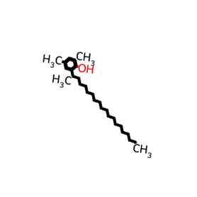 CCCCCCCCCCCCCCCCCCC(C)c1cc(C)cc(C)c1O